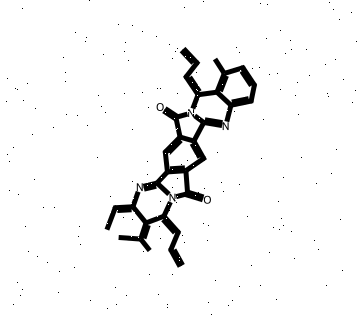 C=C/C=C1\C(=C(C)C)/C(=C\C)N=C2c3cc4c(cc3C(=O)N21)C1=Nc2cccc(C)c2/C(=C\C=C)N1C4=O